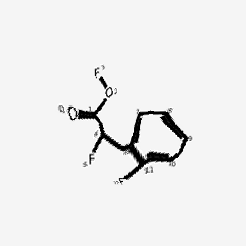 O=C(OF)C(F)c1ccccc1F